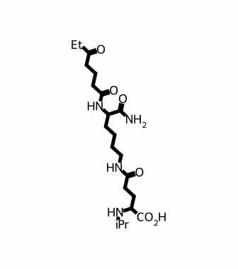 CCC(=O)CCCC(=O)NC(CCCCNC(=O)CCC(NC(C)C)C(=O)O)C(N)=O